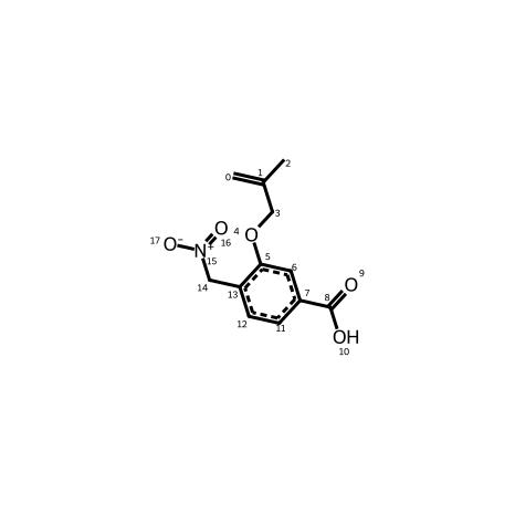 C=C(C)COc1cc(C(=O)O)ccc1C[N+](=O)[O-]